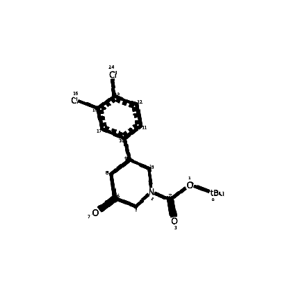 CC(C)(C)OC(=O)N1CC(=O)CC(c2ccc(Cl)c(Cl)c2)C1